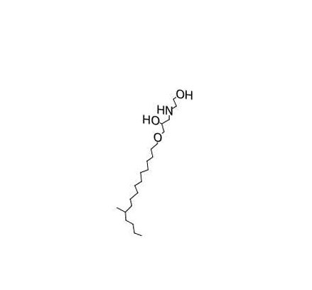 CCCCC(C)CCCCCCCCCCCOCC(O)CNCCO